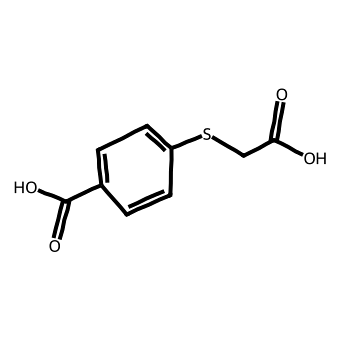 O=C(O)CSc1ccc(C(=O)O)cc1